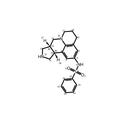 O=S(=O)(Nc1cc2c3c(c1)[C@@H]1CNC[C@@H]1CN3CCC2)c1ccccc1